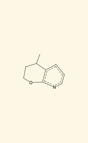 CC1CCOc2ncccc21